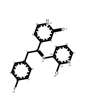 O=c1cc(C(Cc2ccc(F)cc2)=Nc2cccnc2Cl)cc[nH]1